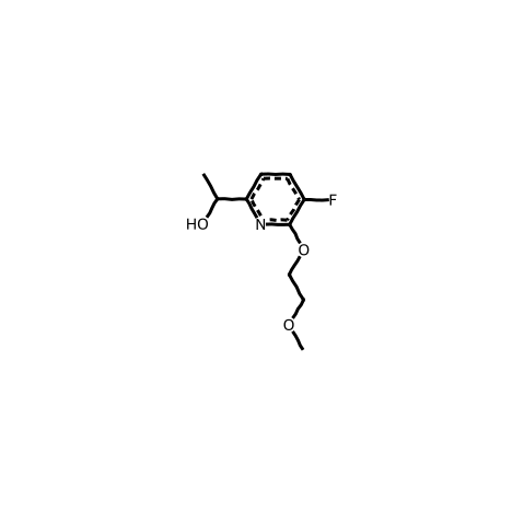 COCCOc1nc(C(C)O)ccc1F